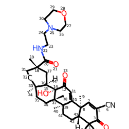 CC1(C)C(=O)C(C#N)=C[C@]2(C)C3=CC(=O)[C@]4(O)[C@@H]5C[C@@](C)(C(=O)NCCN6CCOCC6)CC[C@]5(C)CC[C@@]4(C)[C@]3(C)CC[C@@H]12